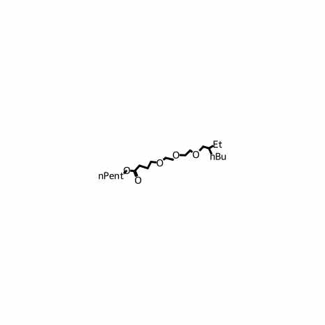 CCCCCOC(=O)CCCOCCOCCOCC(CC)CCCC